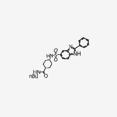 CCCCNC(=O)C1CCC(NS(=O)(=O)c2ccc3[nH]c(-c4ccccc4)nc3c2)CC1